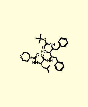 CC(C)C[C@H](NC(=O)N1CCSCC1)C(=O)NC(Cc1ccccc1)C(O)C(Cc1ccccc1)NC(=O)OC(C)(C)C